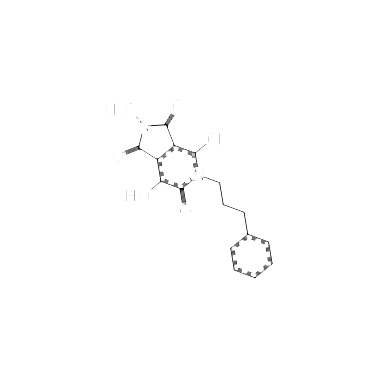 Cc1c2c(c(O)c(=O)n1CCCc1ccccc1)C(=O)N(C)C2=O